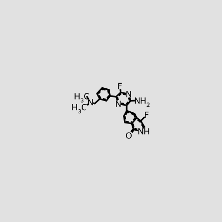 CN(C)Cc1cccc(-c2nc(-c3ccc4c(=O)[nH]cc(F)c4c3)c(N)nc2F)c1